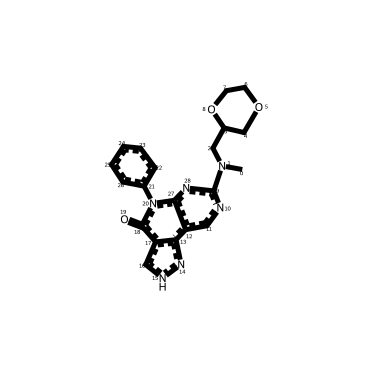 CN(CC1COCCO1)c1ncc2c3n[nH]cc3c(=O)n(-c3ccccc3)c2n1